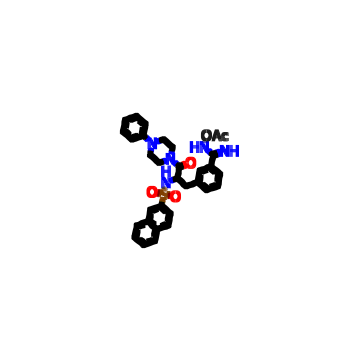 CC(=O)ONC(=N)c1cccc(CC(NS(=O)(=O)c2ccc3ccccc3c2)C(=O)N2CCN(c3ccccc3)CC2)c1